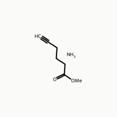 C#CCCCC(=O)OC.N